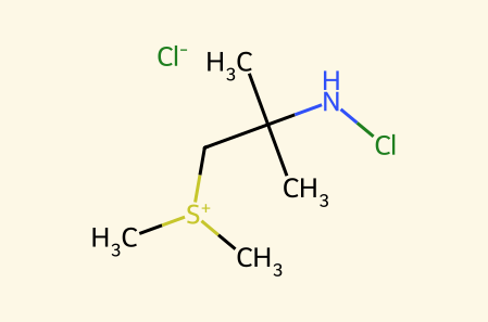 C[S+](C)CC(C)(C)NCl.[Cl-]